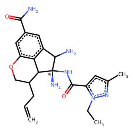 C=CCC1COc2cc(C(N)=O)cc3c2C1[C@@](N)(NC(=O)c1cc(C)nn1CC)C3N